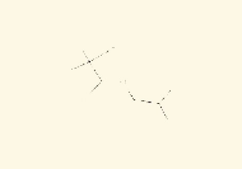 [O]C(OCC(F)F)C(F)(F)F